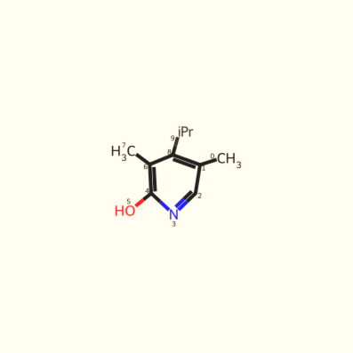 Cc1cnc(O)c(C)c1C(C)C